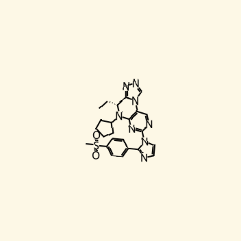 CC[C@@H]1c2nncn2-c2cnc(-n3ccnc3-c3ccc(S(C)(=O)=O)cc3)nc2N1C1CCCC1